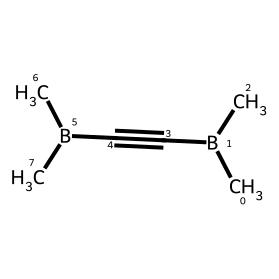 CB(C)C#CB(C)C